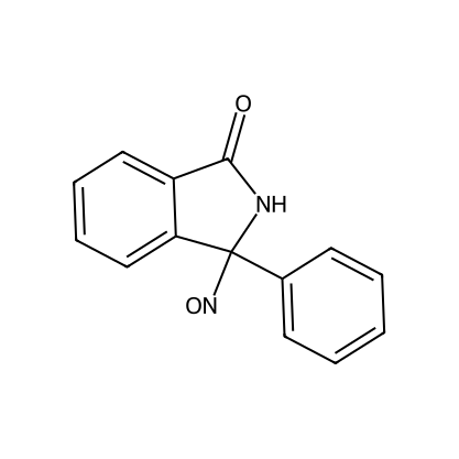 O=NC1(c2ccccc2)NC(=O)c2ccccc21